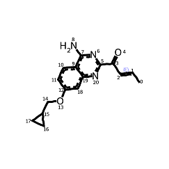 C/C=C/C(=O)c1nc(N)c2ccc(OCC3CC3)cc2n1